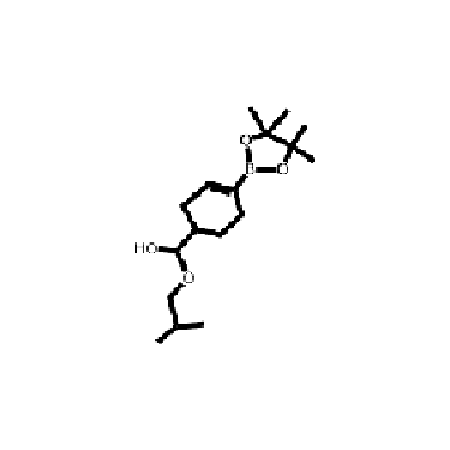 CC(C)COC(O)C1CC=C(B2OC(C)(C)C(C)(C)O2)CC1